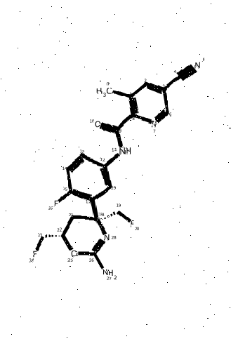 Cc1cc(C#N)cnc1C(=O)Nc1ccc(F)c([C@]2(CF)C[C@@H](CF)OC(N)=N2)c1